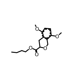 CCCCOC(=O)C1Cc2c(OC)ccc(OC)c2CO1